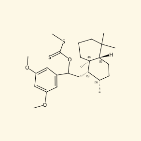 COc1cc(OC)cc(C(C[C@H]2[C@@H](C)CC[C@H]3C(C)(C)CCC[C@]23C)OC(=S)SC)c1